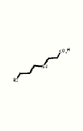 O=C(O)CCNCCCO